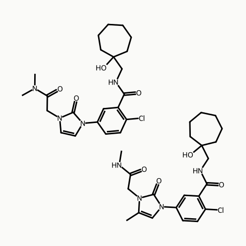 CN(C)C(=O)Cn1ccn(-c2ccc(Cl)c(C(=O)NCC3(O)CCCCCC3)c2)c1=O.CNC(=O)Cn1c(C)cn(-c2ccc(Cl)c(C(=O)NCC3(O)CCCCCC3)c2)c1=O